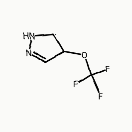 FC(F)(F)OC1[CH]NN=C1